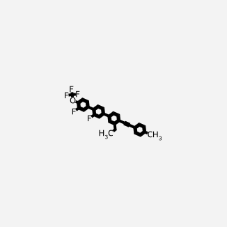 CCc1cc(-c2ccc(-c3ccc(OC(F)(F)F)c(F)c3)c(F)c2)ccc1C#Cc1ccc(C)cc1